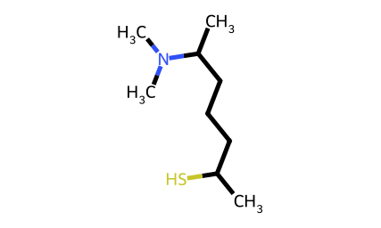 CC(S)CCCC(C)N(C)C